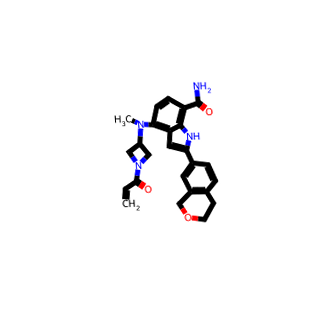 C=CC(=O)N1CC(N(C)c2ccc(C(N)=O)c3[nH]c(-c4ccc5c(c4)COCC5)cc23)C1